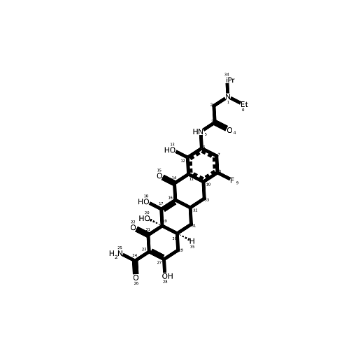 CCN(CC(=O)Nc1cc(F)c2c(c1O)C(=O)C1=C(O)[C@]3(O)C(=O)C(C(N)=O)=C(O)C[C@@H]3CC1C2)C(C)C